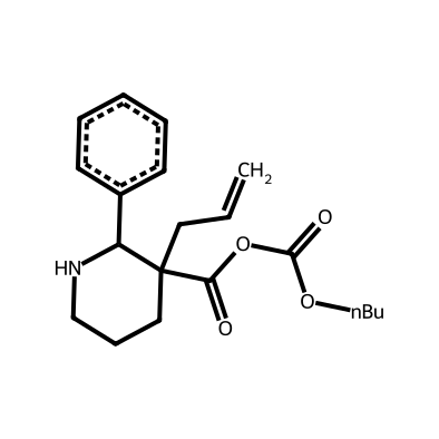 C=CCC1(C(=O)OC(=O)OCCCC)CCCNC1c1ccccc1